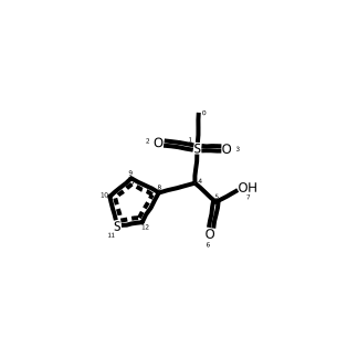 CS(=O)(=O)C(C(=O)O)c1ccsc1